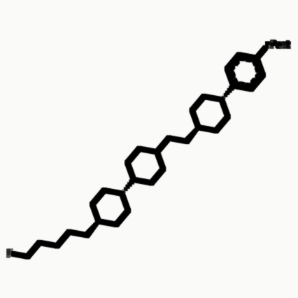 CCCCCc1ccc([C@H]2CC[C@H](CCC3CCC([C@H]4CC[C@H](CCCCCF)CC4)CC3)CC2)cc1